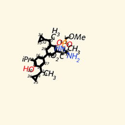 COCP(=O)(NC(C)(N)C(=O)O)Oc1c(C(C)C)cc(-c2cc(C(C)C)c(O)c([C@H](C)C3CC3)c2)cc1[C@H](C)C1CC1